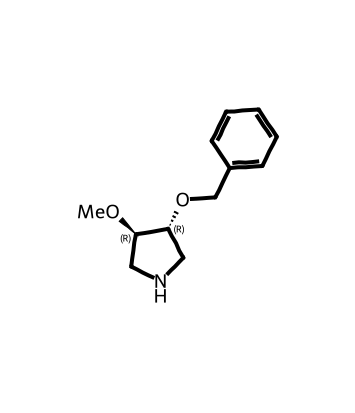 CO[C@@H]1CNC[C@H]1OCc1ccccc1